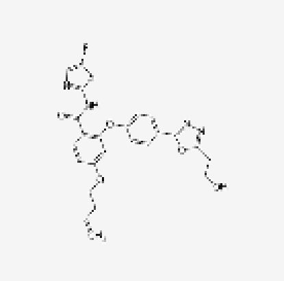 C=CCCOc1ccc(C(=O)Nc2ncc(F)s2)c(Oc2ccc(-c3nnc(CCO)o3)cc2)c1